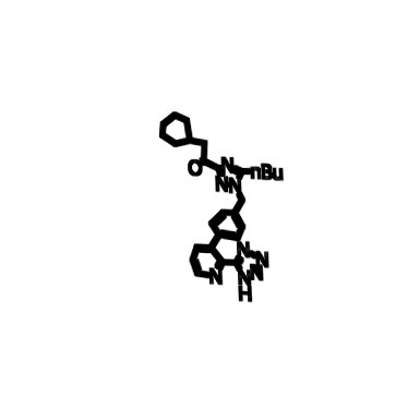 CCCCc1nc(C(=O)CC2CCCCC2)nn1Cc1ccc(-c2cccnc2-c2nnn[nH]2)cc1